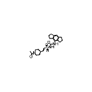 CC(=O)N1CCC(/C=C/S(=O)(=O)NC(=O)Nc2c3c(cc4c2CCC4)CCC3)CC1